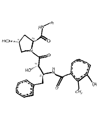 CCCNC(=O)[C@@H]1C[C@@H](O)CN1C(=O)[C@@H](O)[C@H](Cc1ccccc1)NC(=O)c1cccc(O)c1C